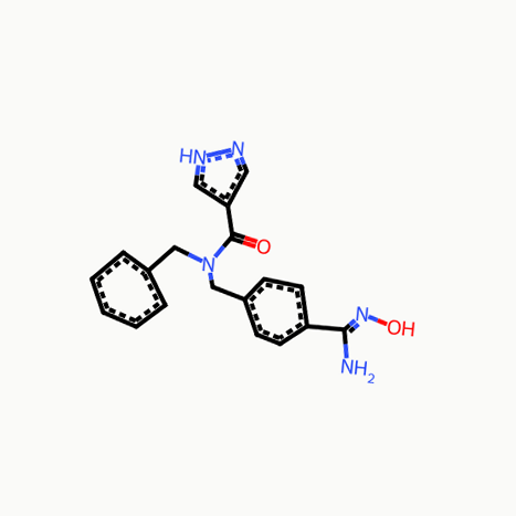 NC(=NO)c1ccc(CN(Cc2ccccc2)C(=O)c2cn[nH]c2)cc1